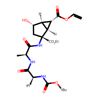 C=COC(=O)[C@H]1[C@H]2[C@@H]1[C@@](NC(=O)[C@H](C)NC(=O)[C@@H](NC(=O)OC(C)(C)C)C(C)C)(C(=O)OCC)C[C@@H]2O